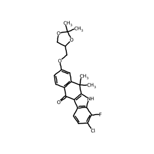 CC1(C)OCC(COc2ccc3c(c2)C(C)(C)c2[nH]c4c(F)c(Cl)ccc4c2C3=O)O1